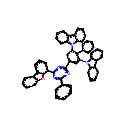 c1ccc(-c2nc(-c3cc(-n4c5ccccc5c5ccccc54)c(-c4ccccc4)c(-n4c5ccccc5c5ccccc54)c3)nc(-c3cccc4c3oc3ccccc34)n2)cc1